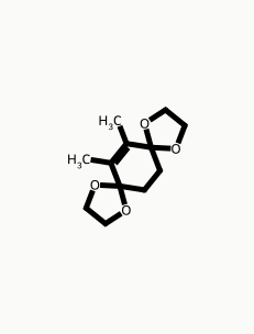 CC1=C(C)C2(CCC13OCCO3)OCCO2